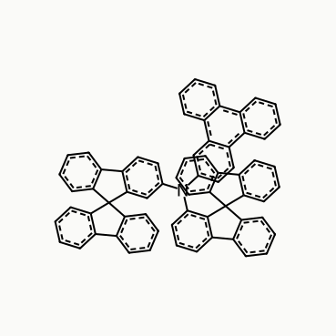 c1ccc2c(c1)-c1ccccc1C21c2ccccc2-c2ccc(N(c3ccc4c5ccccc5c5ccccc5c4c3)c3cccc4c3C3(c5ccccc5-c5ccccc53)c3ccccc3-4)cc21